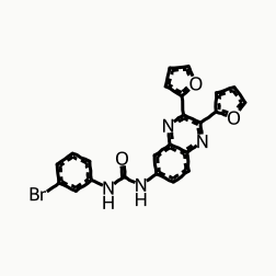 O=C(Nc1cccc(Br)c1)Nc1ccc2nc(-c3ccco3)c(-c3ccco3)nc2c1